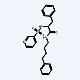 O=C(NCCCCc1ccccc1)C(Cc1cc[c]cc1)NS(=O)(=O)c1cccnc1